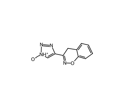 [O-][NH+]1C=C(C2=NOc3ccccc3C2)N=N1